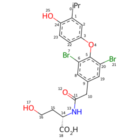 CC(C)c1cc(Oc2c(Br)cc(CC(=O)N[C@@H](CCO)C(=O)O)cc2Br)ccc1O